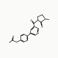 CC(=O)Oc1ccc(-c2cncc(C(=O)C3CCN(C)C3=O)c2)cc1